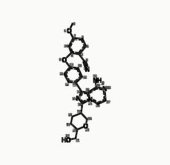 COc1ccc(C#N)c(Oc2ccc(-c3nc(C4CCC(CO)OC4)n4ccnc(N)c34)cc2)c1